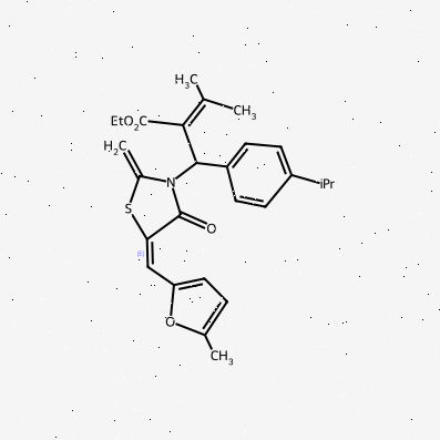 C=c1s/c(=C/c2ccc(C)o2)c(=O)n1C(C(C(=O)OCC)=C(C)C)c1ccc(C(C)C)cc1